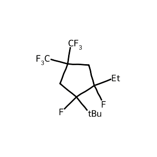 CCC1(F)CC(C(F)(F)F)(C(F)(F)F)CC1(F)C(C)(C)C